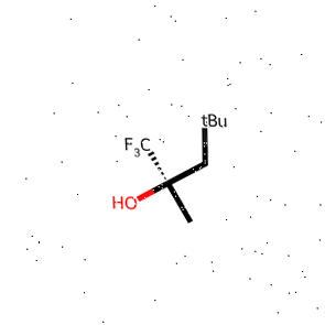 CC(C)(C)C[C@@](C)(O)C(F)(F)F